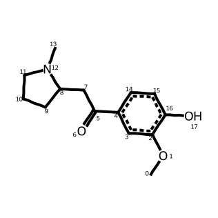 COc1cc(C(=O)CC2CCCN2C)ccc1O